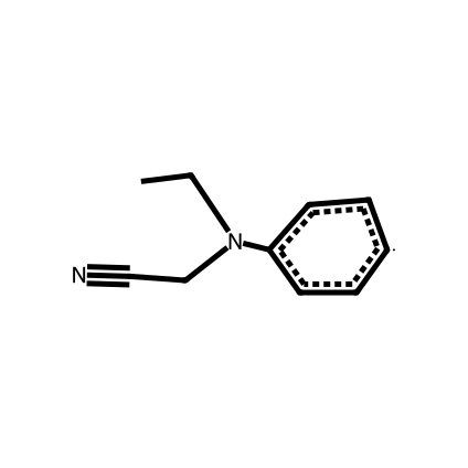 CCN(CC#N)c1cc[c]cc1